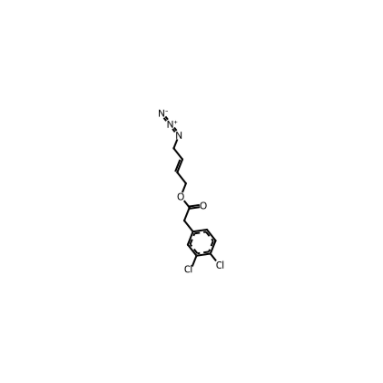 [N-]=[N+]=NC/C=C/COC(=O)Cc1ccc(Cl)c(Cl)c1